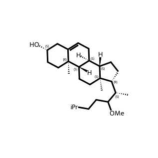 COC(CCC(C)C)[C@@H](C)[C@H]1CC[C@H]2[C@@H]3CC=C4C[C@@H](O)CC[C@]4(C)[C@H]3CC[C@]12C